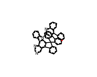 c1ccc(-c2nc(-n3c4ccccc4c4c5ncncc5c5c(c43)C3(c4ccccc4-c4ccccc43)c3ccccc3-5)nc3ccccc23)cc1